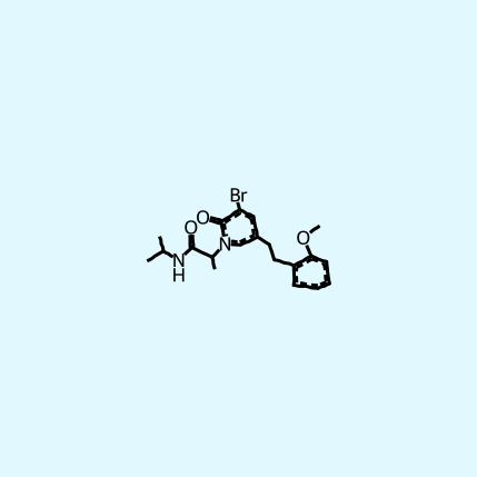 COc1ccccc1CCc1cc(Br)c(=O)n(C(C)C(=O)NC(C)C)c1